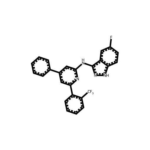 Fc1ccc2[nH]nc(Nc3cc(-c4ccccc4)cc(-c4ccccc4C(F)(F)F)n3)c2c1